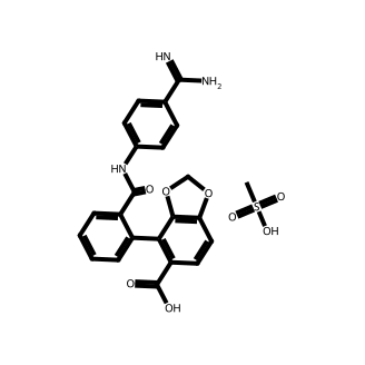 CS(=O)(=O)O.N=C(N)c1ccc(NC(=O)c2ccccc2-c2c(C(=O)O)ccc3c2OCO3)cc1